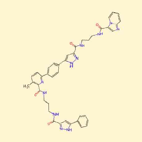 Cc1ccc(-c2ccc(-c3cc(C(=O)NCCCNC(=O)c4cnc5ccccn45)n[nH]3)cc2)nc1C(=O)NCCCNC(=O)c1cc(-c2ccccc2)[nH]n1